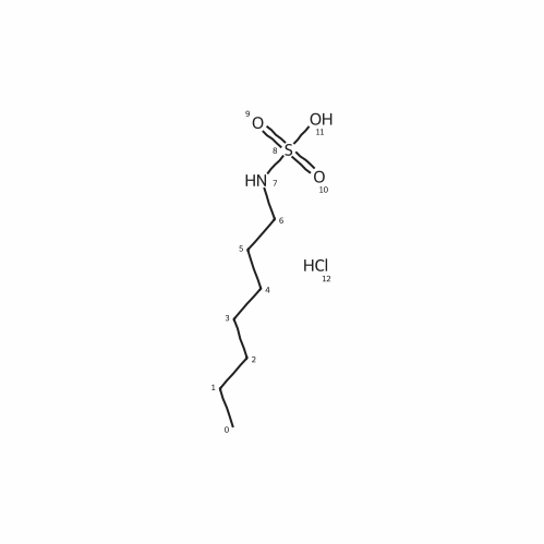 CCCCCCCNS(=O)(=O)O.Cl